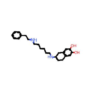 Oc1cc2c(cc1O)CC(NCCCCCCNCCc1ccccc1)CC2